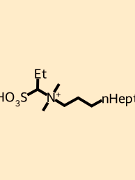 CCCCCCCCCC[N+](C)(C)C(CC)S(=O)(=O)O